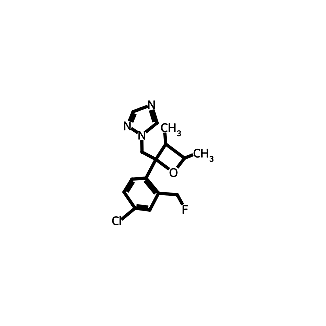 CC1OC(Cn2cncn2)(c2ccc(Cl)cc2CF)C1C